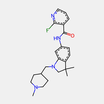 CN1CCC(CN2CC(C)(C)c3ccc(NC(=O)c4cccnc4F)cc32)CC1